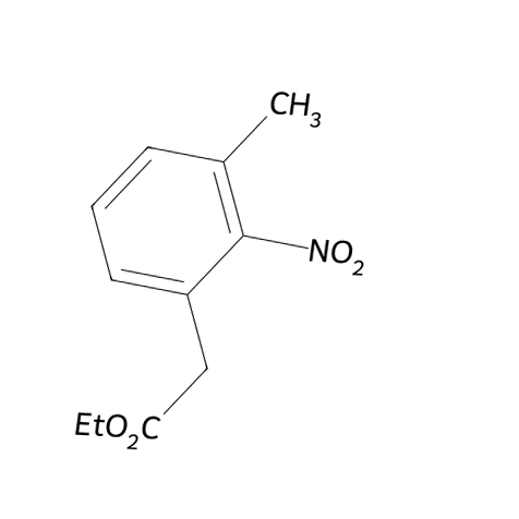 CCOC(=O)Cc1cccc(C)c1[N+](=O)[O-]